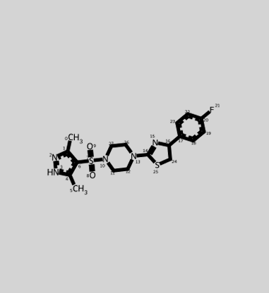 Cc1n[nH]c(C)c1S(=O)(=O)N1CCN(C2=NC(c3ccc(F)cc3)CS2)CC1